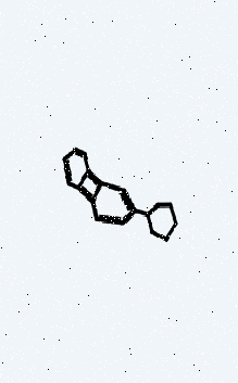 c1ccc2c(c1)=c1ccc(C3CCCCC3)cc1=2